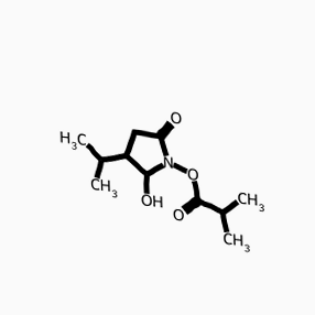 CC(C)C(=O)ON1C(=O)CC(C(C)C)C1O